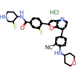 Cl.N#Cc1cc(-c2ccnc3cc(-c4ccc(C(=O)NC5CCNCC5F)cc4F)oc23)ccc1NC1CCOCC1